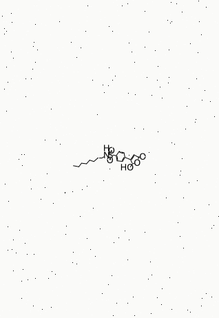 CCCCCCCCNS(=O)(=O)c1ccc(C2=CC(=O)OC2O)cc1